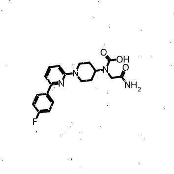 NC(=O)CN(C(=O)O)C1CCN(c2cccc(-c3ccc(F)cc3)n2)CC1